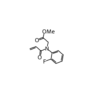 C=CC(=O)N(CC(=O)OC)c1ccccc1F